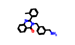 Cc1ccccc1-c1nc2ccccc2c(=O)n1Cc1cccc(CN)c1